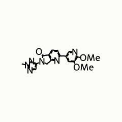 COc1cc(-c2ccc3c(n2)CN(c2cnn(C)n2)C3=O)cnc1OC